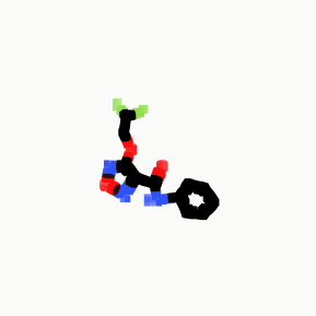 O=C(Nc1ccccc1)c1nonc1OCC(F)F